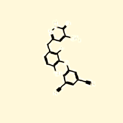 Cc1ccc(Cc2cc(C)c(=O)[nH]n2)c(F)c1Oc1cc(C#N)cc(C#N)c1